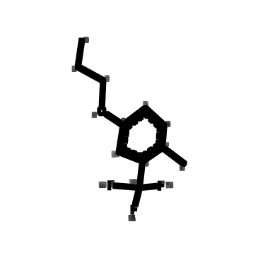 CCCOc1ccc(C)c(C(F)(F)F)c1